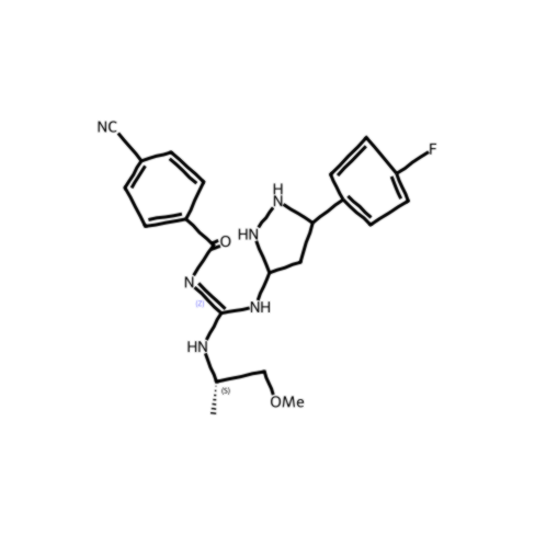 COC[C@H](C)N/C(=N/C(=O)c1ccc(C#N)cc1)NC1CC(c2ccc(F)cc2)NN1